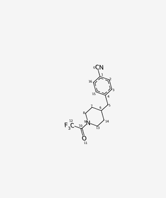 N#Cc1ccc(CC2CCN(C(=O)C(F)(F)F)CC2)cc1